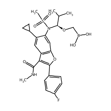 CNC(=O)c1c(-c2ccc(F)cc2)oc2cc(N([C@H](OCB(O)O)C(C)C)S(C)(=O)=O)c(C3CC3)cc12